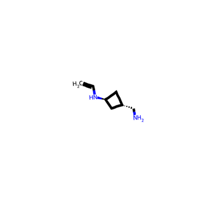 C=CN[C@H]1C[C@H](CN)C1